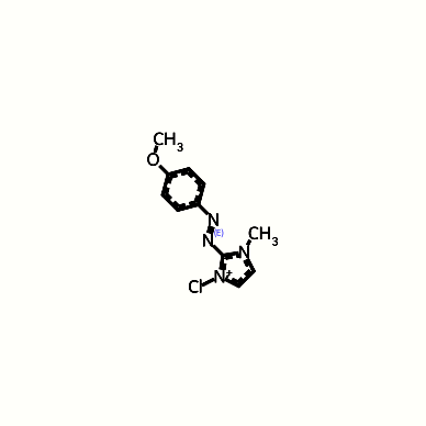 COc1ccc(/N=N/c2n(C)cc[n+]2Cl)cc1